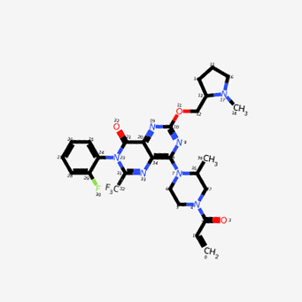 C=CC(=O)N1CCN(c2nc(OCC3CCCN3C)nc3c(=O)n(-c4ccccc4F)c(C(F)(F)F)nc23)C(C)C1